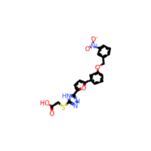 O=C(O)CSc1nnc(-c2ccc(-c3cccc(OCc4cccc([N+](=O)[O-])c4)c3)o2)[nH]1